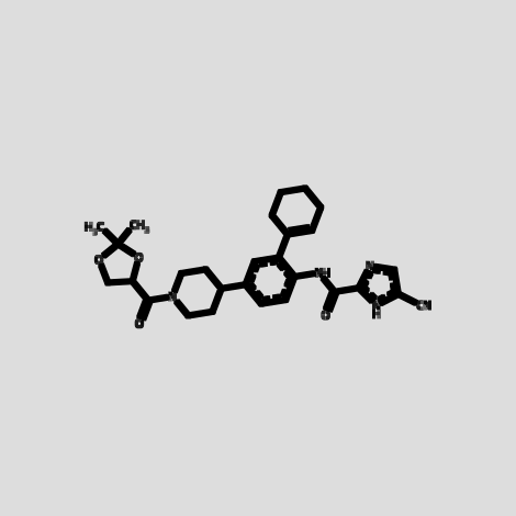 CC1(C)OCC(C(=O)N2CCC(c3ccc(NC(=O)c4ncc(C#N)[nH]4)c(C4=CCCCC4)c3)CC2)O1